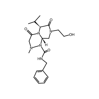 CC(C)[C@H]1C(=O)N(CCO)C[C@H]2N1C(=O)CN(C)N2C(=O)NCc1ccccc1